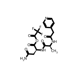 C[C@H](NC(=O)Cc1ccncc1)C(=O)N[C@@H](CC(N)=O)C(=O)OC(=O)C(F)(F)F